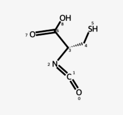 O=C=N[C@@H](CS)C(=O)O